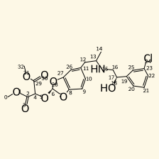 COC(=O)C(O[C@@H]1Oc2ccc(CC(C)NC[C@H](O)c3cccc(Cl)c3)cc2O1)C(=O)OC